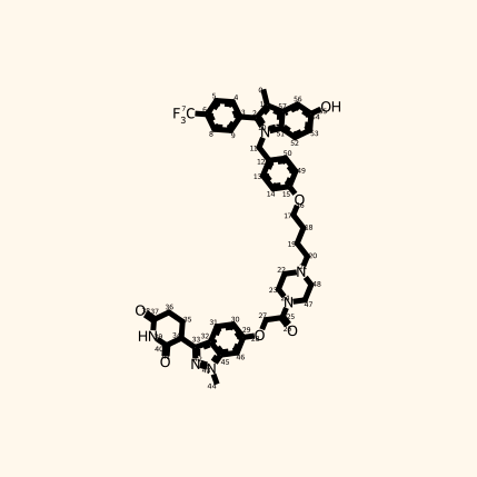 Cc1c(-c2ccc(C(F)(F)F)cc2)n(Cc2ccc(OCCCCN3CCN(C(=O)COc4ccc5c(C6CCC(=O)NC6=O)nn(C)c5c4)CC3)cc2)c2ccc(O)cc12